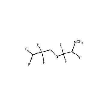 FC(F)C(F)(F)COC(F)(F)C(F)NC(F)(F)F